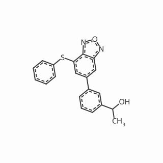 CC(O)c1cccc(-c2cc(Sc3ccccc3)c3nonc3c2)c1